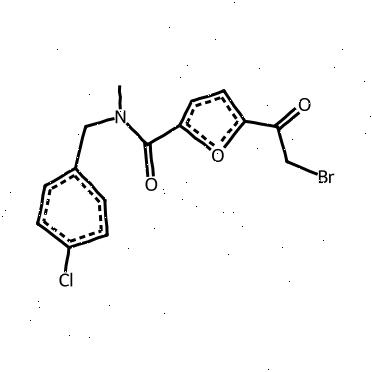 CN(Cc1ccc(Cl)cc1)C(=O)c1ccc(C(=O)CBr)o1